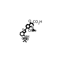 COc1c(-c2cc3c(s2)CCCC3NS(=O)(=O)N(C)C)ccc2c(=O)c(C(=O)O)cn(C3CC3)c12